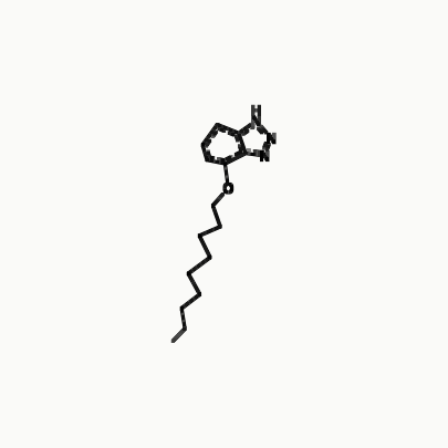 CCCCCCCCCOc1cccc2[nH]nnc12